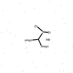 Br.CCCCCCCC(CCCCCCC)N(CC)CC